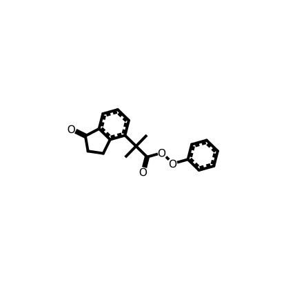 CC(C)(C(=O)OOc1ccccc1)c1cccc2c1CCC2=O